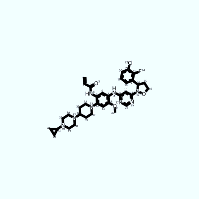 C=CC(=O)Nc1cc(Nc2cc(N3OCCC3c3cccc(Cl)c3F)ncn2)c(OC)cc1N1CCC(N2CCN(C3CC3)CC2)CC1